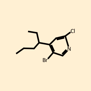 CCCC(CC)c1cc(Cl)ncc1Br